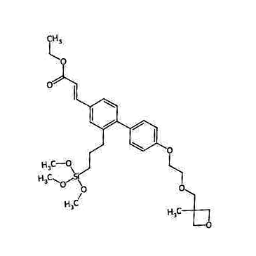 CCOC(=O)/C=C/c1ccc(-c2ccc(OCCOCC3(C)COC3)cc2)c(CCC[Si](OC)(OC)OC)c1